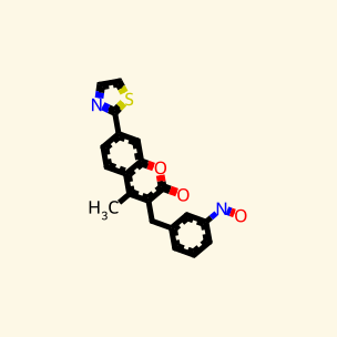 Cc1c(Cc2cccc(N=O)c2)c(=O)oc2cc(-c3nccs3)ccc12